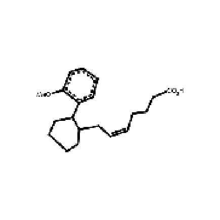 COc1ccccc1C1CCCCC1C/C=C\CCCC(=O)O